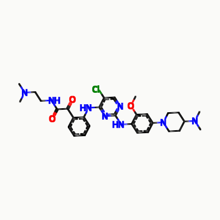 COc1cc(N2CCC(N(C)C)CC2)ccc1Nc1ncc(Cl)c(Nc2ccccc2C(=O)C(=O)NCCN(C)C)n1